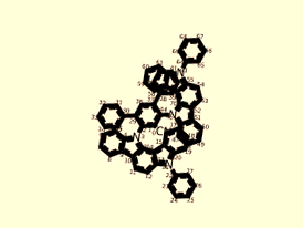 N#Cc1c(-n2c3ccccc3c3ccc4c(c5ccccc5n4-c4ccccc4)c32)c(-c2ccccc2)cc(-c2ccccc2)c1-n1c2ccccc2c2ccc3c(c4ccccc4n3-c3ccccc3)c21